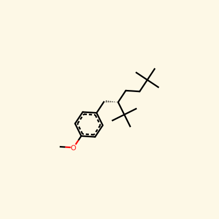 COc1ccc(C[C@H](CCC(C)(C)C)C(C)(C)C)cc1